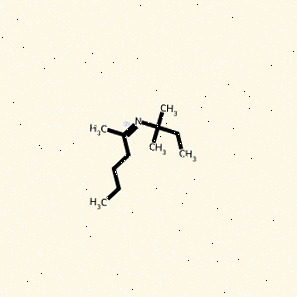 CCCC/C(C)=N\C(C)(C)CC